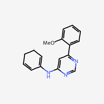 COc1ccccc1-c1cc(NC2=C[CH]CC=C2)ncn1